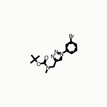 CN(Cc1cn(-c2cccc(Br)c2)nn1)C(=O)OC(C)(C)C